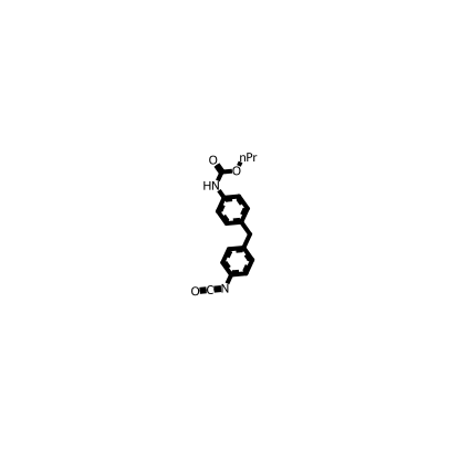 CCCOC(=O)Nc1ccc(Cc2ccc(N=C=O)cc2)cc1